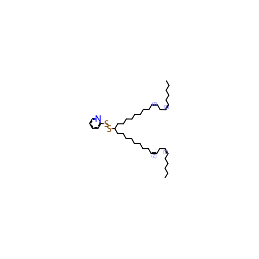 CCCCC/C=C\C/C=C\CCCCCCCCC(CCCCCCCC/C=C\C/C=C\CCCCC)SSc1ccccn1